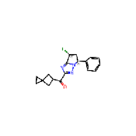 O=C(c1nc2n(n1)[C@H](c1ccccc1)C[C@@H]2F)C1CC2(CC2)C1